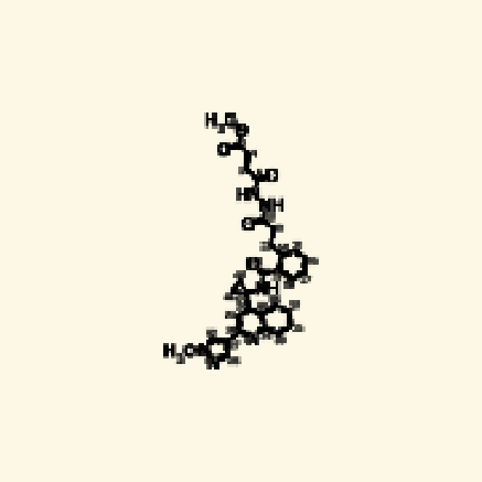 COC(=O)/C=C/C(=O)NNC(=O)CCc1ccccc1C(=O)NC1(c2cc(-c3cnn(C)c3)nc3ccccc23)CC1